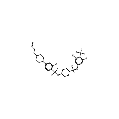 C=CCCC1CCC(c2ccc(C(F)(F)OC3CCC(C(F)(F)Oc4cc(F)c(C(F)(F)F)c(F)c4)CC3)c(F)c2)CC1